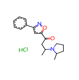 CC1CCCN1C(C)CC(=O)c1cc(-c2ccccc2)no1.Cl